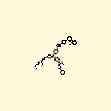 C=C\C=C/C=C/C(C=C)=C/C=C/c1ccc(N(c2ccc(/C(C=C)=C/C=C/c3ccccc3)cc2)c2ccc(-c3ccc(-c4ccc(-c5cccc6c5oc5ccccc56)cc4)s3)cc2)cc1